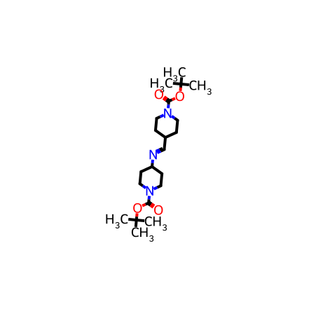 CC(C)(C)OC(=O)N1CCC(C=NC2CCN(C(=O)OC(C)(C)C)CC2)CC1